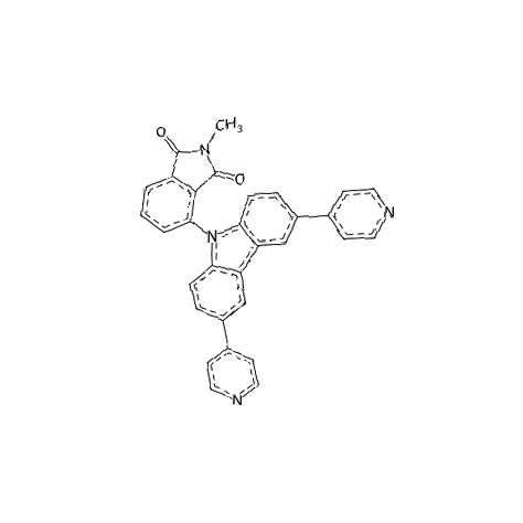 CN1C(=O)c2cccc(-n3c4ccc(-c5ccncc5)cc4c4cc(-c5ccncc5)ccc43)c2C1=O